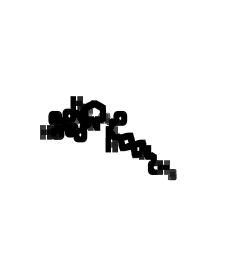 CCN1CC2(CC(NC(=O)[C@H]3CC[C@@H]4CN3C(=O)N4OS(=O)(=O)O)C2)C1